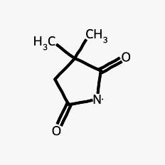 CC1(C)CC(=O)[N]C1=O